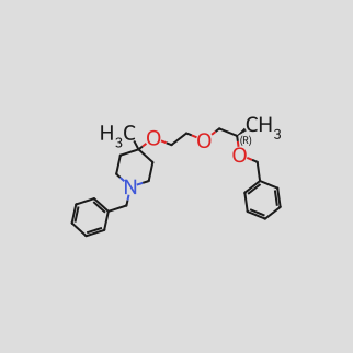 C[C@H](COCCOC1(C)CCN(Cc2ccccc2)CC1)OCc1ccccc1